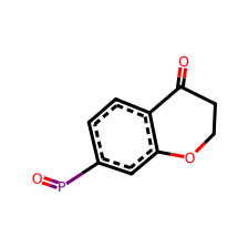 O=Pc1ccc2c(c1)OCCC2=O